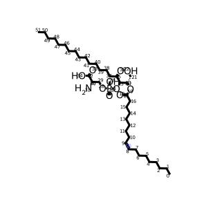 CCCCCCCC/C=C\CCCCCCCC(=O)O[C@@H](CO)C(OP(=O)(O)OC[C@H](N)C(=O)O)C(=O)CCCCCCCCCCCCCCC